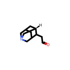 O=CCC1C2CC3C[C@H]1CN(C3)C2